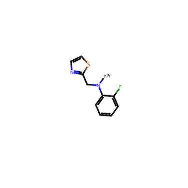 CCCN(Cc1nccs1)c1ccccc1F